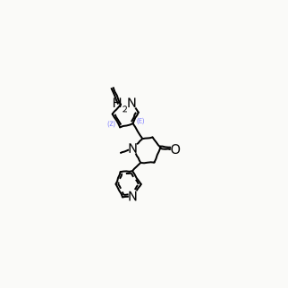 C=C/C=C\C(=C/N)C1CC(=O)CC(c2cccnc2)N1C